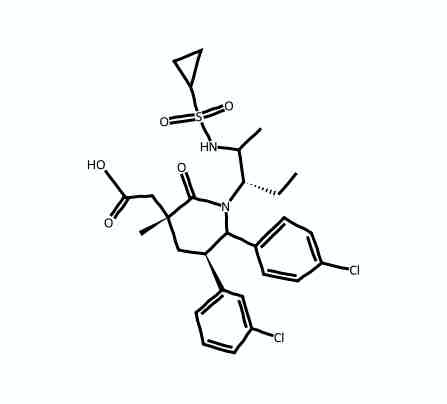 CC[C@@H](C(C)NS(=O)(=O)C1CC1)N1C(=O)[C@@](C)(CC(=O)O)C[C@H](c2cccc(Cl)c2)C1c1ccc(Cl)cc1